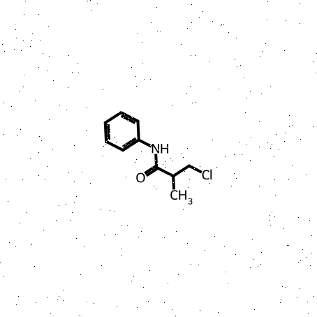 CC(CCl)C(=O)Nc1ccccc1